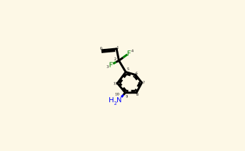 C=CC(F)(F)c1cccc(N)c1